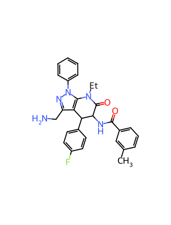 CCN1C(=O)C(NC(=O)c2cccc(C)c2)C(c2ccc(F)cc2)c2c(CN)nn(-c3ccccc3)c21